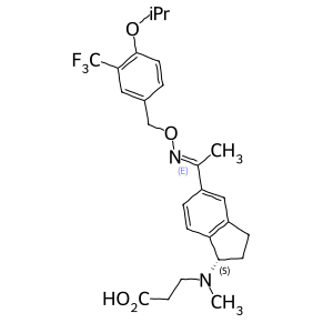 C/C(=N\OCc1ccc(OC(C)C)c(C(F)(F)F)c1)c1ccc2c(c1)CC[C@@H]2N(C)CCC(=O)O